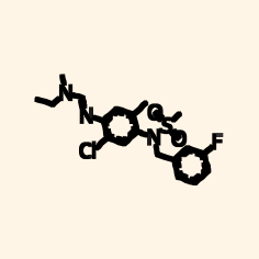 CCN(C)C=Nc1cc(C)c(N(Cc2cccc(F)c2)S(C)(=O)=O)cc1Cl